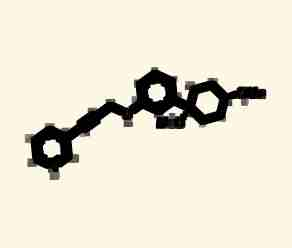 CO[C@H]1CC[C@@](OC)(c2cccc(OCC#Cc3cccnc3)c2)CC1